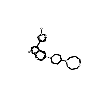 Cn1cc(-c2c[nH]c3ncc([C@H]4CC[C@H](N5CCCOCCC5)CC4)cc23)cn1